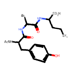 CCC(C)C(NC(=O)C(Cc1ccc(O)cc1)NC(C)=O)C(=O)NC(CCC(F)(F)F)C(=O)O